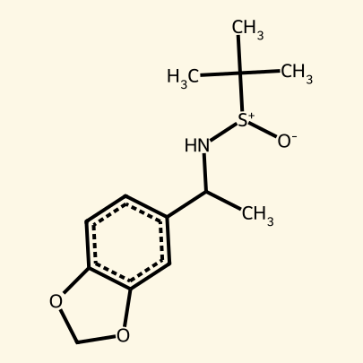 CC(N[S+]([O-])C(C)(C)C)c1ccc2c(c1)OCO2